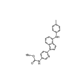 Cc1ccc(Nc2cccc3c2ccn3-c2ccc(NC(=O)OC(C)(C)C)cn2)cc1